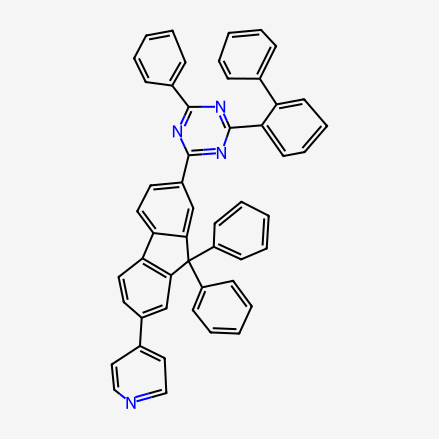 c1ccc(-c2nc(-c3ccc4c(c3)C(c3ccccc3)(c3ccccc3)c3cc(-c5ccncc5)ccc3-4)nc(-c3ccccc3-c3ccccc3)n2)cc1